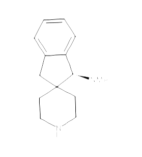 CN[C@@H]1c2ccccc2CC12CCNCC2